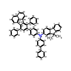 CC1(C)c2ccccc2-c2ccc(N(c3ccc(-c4ccccc4)cc3)c3ccc(-c4cc(-c5ccccc5)c5c(c4-c4ccccc4)-c4cccc6cccc-5c46)cc3)cc21